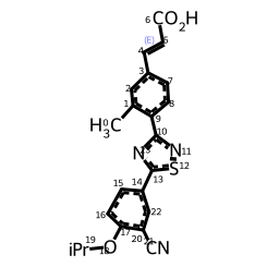 Cc1cc(/C=C/C(=O)O)ccc1-c1nsc(-c2ccc(OC(C)C)c(C#N)c2)n1